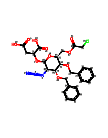 [N-]=[N+]=N[C@H]1[C@@H](O[C@@H](CC(=O)O)C(=O)O)O[C@H](COC(=O)CCl)[C@@H](OCc2ccccc2)[C@@H]1OCc1ccccc1